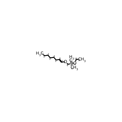 CCCCCC/C=C/OC[Si](C)(C)OCC